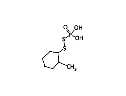 CC1CCCCC1SSP(=O)(O)O